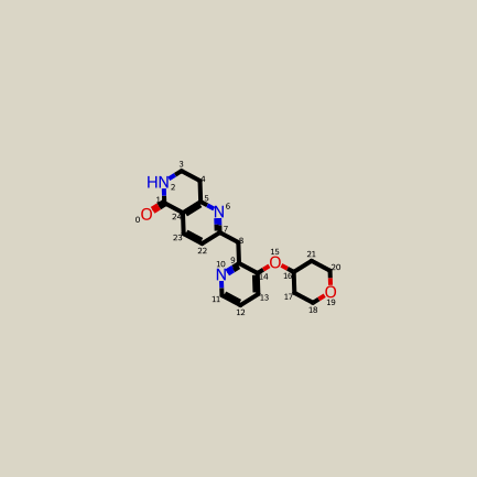 O=C1NCCc2nc(Cc3ncccc3OC3CCOCC3)ccc21